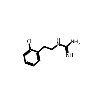 N=C(N)NCCc1ccccc1Cl